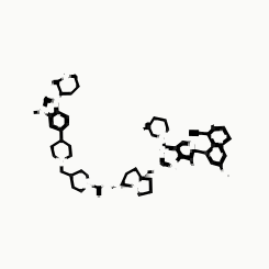 C#Cc1c(F)ccc2cc(O)cc(-c3ncc4c(N5CCCC(F)(F)C5)nc(OC[C@@]56CCCN5[C@H](COC(=O)N5CCC(CN7CCC(c8ccc9c(c8)n(C)c(=O)n9C8CCC(=O)NC8=O)CC7)CC5)CC6)nc4c3F)c12